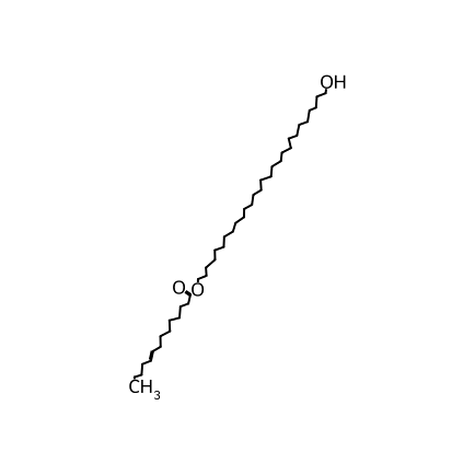 CCCCC=CCCCCCCCC(=O)OCCCCCCCCCCCCCCCCCCCCCCCCCCCCO